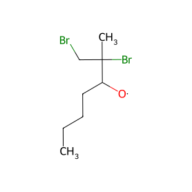 CCCCC([O])C(C)(Br)CBr